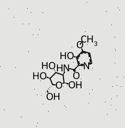 COc1ccnc(C(=O)N[C@@H]2[C@@H](O)[C@H](O)[C@@H](CO)O[C@@H]2O)c1O